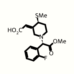 COC(=O)[C@H](c1ccccc1F)N1CC[C@H](SC)/C(=C/C(=O)O)C1